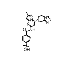 Cc1cc2nc(NC(=O)c3ccc(C(C)(C)O)cc3)cc(N3CCn4cnnc4C3)n2n1